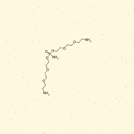 NCCOCCOCCOP(N)(=O)OCCOCCOCCN